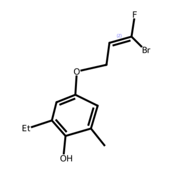 CCc1cc(OC/C=C(/F)Br)cc(C)c1O